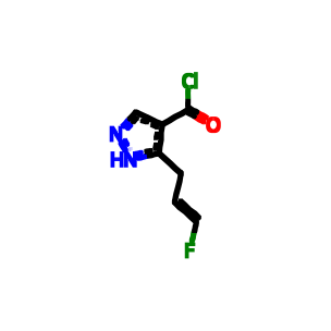 O=C(Cl)c1cn[nH]c1CC=CF